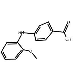 COc1ccccc1Nc1ccc(C(=O)O)cc1